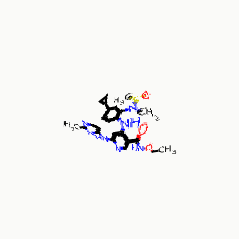 CCONC(=O)c1cnc(Nc2ccnc(C)n2)cc1Nc1ccc(C2CC2)cc1N(C)[S+](C)[O-]